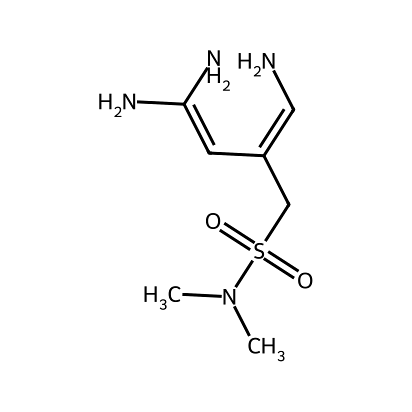 CN(C)S(=O)(=O)C/C(C=C(N)N)=C/N